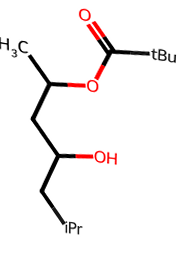 CC(C)CC(O)CC(C)OC(=O)C(C)(C)C